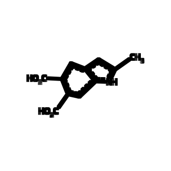 Cc1cc2cc(C(=O)O)c(C(=O)O)cc2[nH]1